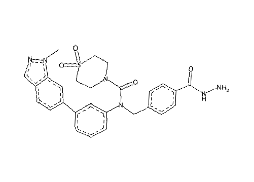 Cn1ncc2ccc(-c3cccc(N(Cc4ccc(C(=O)NN)cc4)C(=O)N4CCS(=O)(=O)CC4)c3)cc21